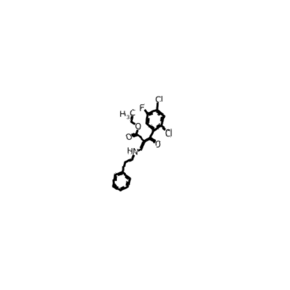 CCOC(=O)C(=CNCCc1ccccc1)C(=O)c1cc(F)c(Cl)cc1Cl